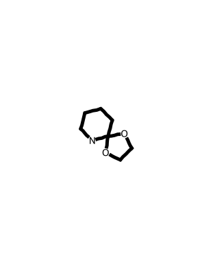 C1CCC2([N]C1)OCCO2